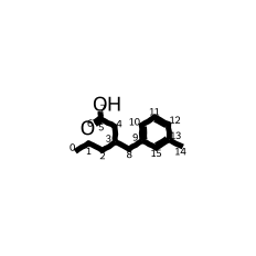 CCCC(CC(=O)O)Cc1cccc(C)c1